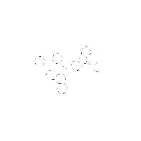 CC1(C)C2=C(C=CCC2)n2c3ccc(N(c4cccc(-c5ccccc5)c4)c4cc5ccccc5c5ccccc45)cc3c3cccc1c32